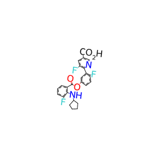 O=C(O)c1cnc(-c2cc(OC(=O)c3cccc(F)c3NC3CCCC3)ccc2F)c(F)c1